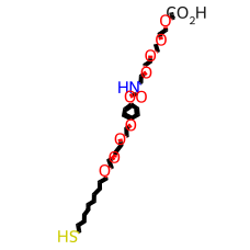 O=C(O)COCCOCCOCCOCCNC(=O)Oc1ccc(OCCOCCOCCOCCCCCCCCCCCS)cc1